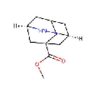 COC(=O)C12CC3C[C@H](C1)N[C@@H](C3)C2